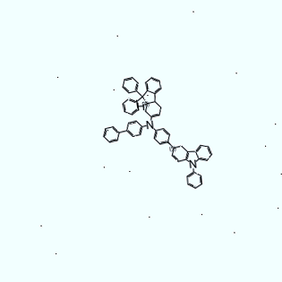 C1=C[C@@H](c2ccc(N(C3=CCC4c5ccccc5C(c5ccccc5)(c5ccccc5)[C@@H]4C3)c3ccc(-c4ccccc4)cc3)cc2)Cc2c1n(-c1ccccc1)c1ccccc21